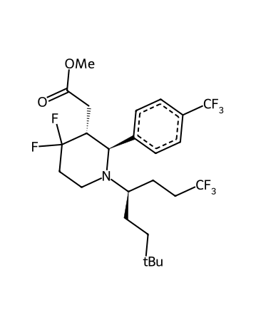 COC(=O)C[C@@H]1[C@@H](c2ccc(C(F)(F)F)cc2)N([C@H](CCC(C)(C)C)CCC(F)(F)F)CCC1(F)F